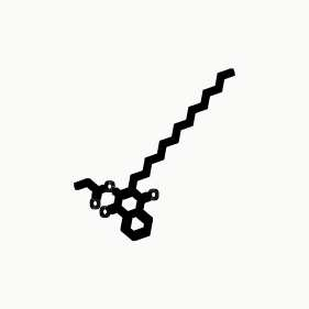 CCCCCCCCCCCCCCC1=C(OC(=O)CC)C(=O)c2ccccc2C1=O